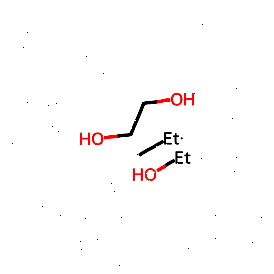 CCO.C[CH]C.OCCO